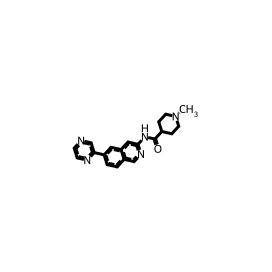 CN1CCC(C(=O)Nc2cc3cc(-c4cnccn4)ccc3cn2)CC1